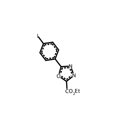 CCOC(=O)c1nnc(-c2ccc(I)cc2)o1